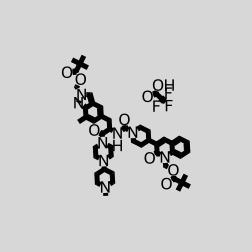 Cc1cc(CC(NC(=O)N2CCC(c3cc4ccccc4n(COC(=O)C(C)(C)C)c3=O)CC2)C(=O)N2CCN(C3CCN(C)CC3)CC2)cc2cn(COC(=O)C(C)(C)C)nc12.O=C(O)C(F)(F)F